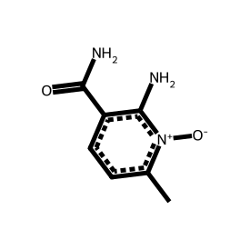 Cc1ccc(C(N)=O)c(N)[n+]1[O-]